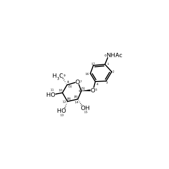 CC(=O)Nc1ccc(O[C@@H]2O[C@@H](C)C(O)[C@@H](O)[C@H]2O)cc1